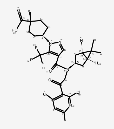 Cc1cc(Cl)c(C(=O)CN(C(=O)c2cnn([C@H]3CC[C@](C)(C(=O)O)CC3)c2C(F)(F)F)[C@H]2C[C@@H]3[C@H](C2)C3(C)C)c(Cl)n1